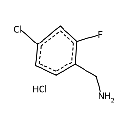 Cl.NCc1ccc(Cl)cc1F